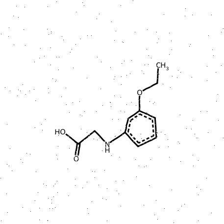 CCOc1cccc(NCC(=O)O)c1